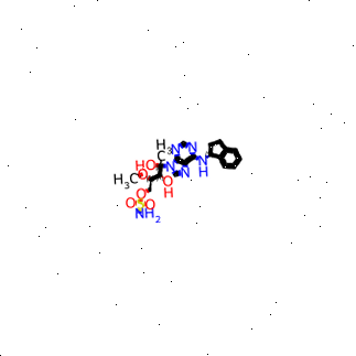 CO[C@H](COS(N)(=O)=O)[C@@H](O)[C@@](C)(O)n1cnc2c(N[C@H]3CCc4ccccc43)ncnc21